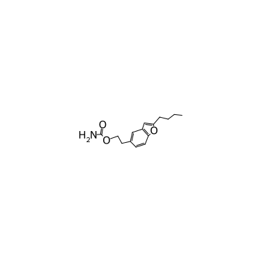 CCCCc1cc2cc(CCOC(N)=O)ccc2o1